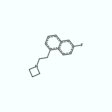 Fc1ccc2c(CCN3CCC3)cccc2c1